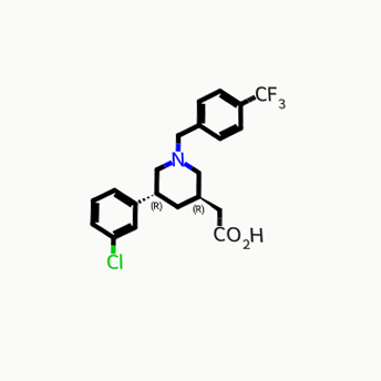 O=C(O)C[C@H]1C[C@H](c2cccc(Cl)c2)CN(Cc2ccc(C(F)(F)F)cc2)C1